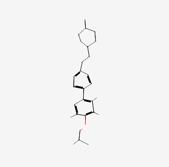 CCc1cc(-c2ccc(CCC3CCC(C)CC3)cc2)c(CC)c(CC)c1OCC(CC)CC